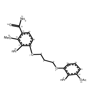 CCCc1c(OCCCOc2ccc(C(N)=O)c(OC)c2CCC)cccc1OC(C)=O